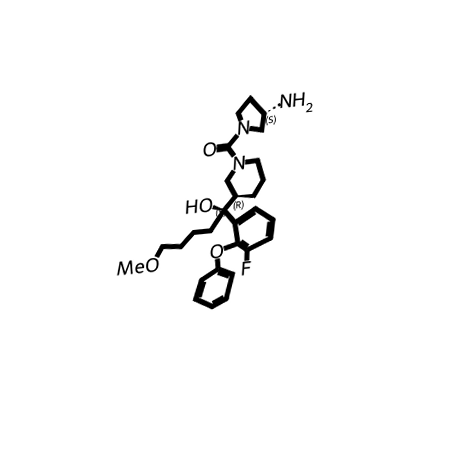 COCCCC[C@@](O)(c1cccc(F)c1Oc1ccccc1)[C@@H]1CCCN(C(=O)N2CC[C@H](N)C2)C1